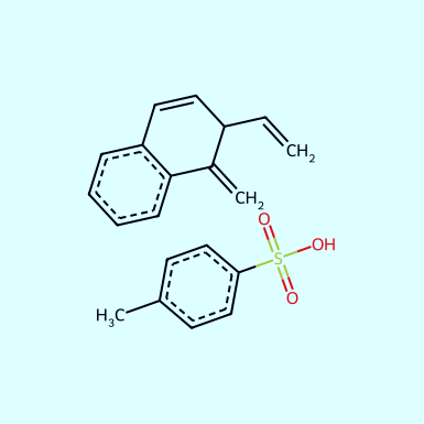 C=CC1C=Cc2ccccc2C1=C.Cc1ccc(S(=O)(=O)O)cc1